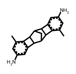 Cc1cc(N)cc2c1C1C3CC(C21)C1c2c(C)cc(N)cc2C31